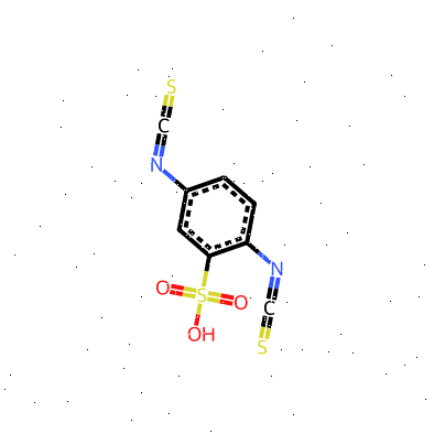 O=S(=O)(O)c1cc(N=C=S)ccc1N=C=S